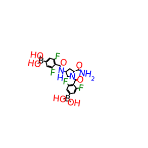 NC(=O)[C@@H]1C[C@H](NC(=O)c2c(F)cc(B(O)O)cc2F)CN1C(=O)c1c(F)cc(B(O)O)cc1F